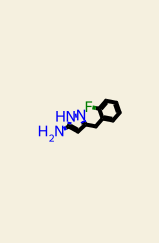 Nc1cc(Cc2ccccc2F)n[nH]1